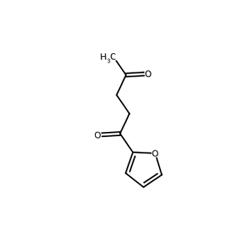 CC(=O)CCC(=O)c1ccco1